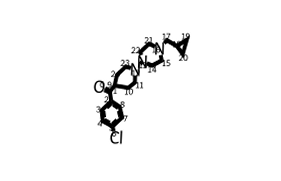 O=C(c1ccc(Cl)cc1)C1CCN(N2CCN(CC3CC3)CC2)CC1